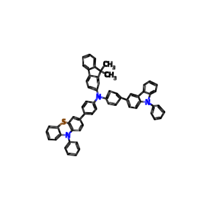 CC1(C)c2ccccc2-c2ccc(N(c3ccc(-c4ccc5c(c4)Sc4ccccc4N5c4ccccc4)cc3)c3ccc(-c4ccc5c(c4)c4ccccc4n5-c4ccccc4)cc3)cc21